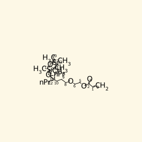 C=CC(=O)OCCOCCC[Si](CCC)(CCC)O[Si](C)(C)O[Si](C)(C)C